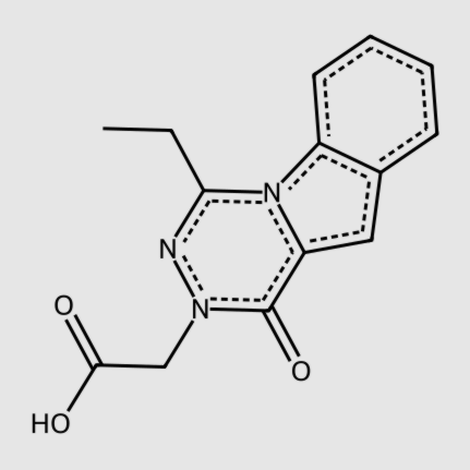 CCc1nn(CC(=O)O)c(=O)c2cc3ccccc3n12